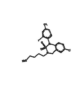 CNCCCCN1Cc2cc(Cl)ccc2N(c2ccc(C)cc2F)S1(=O)=O